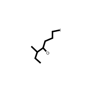 CCC(C)C([O])CCCI